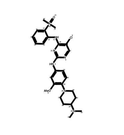 COc1cc(Nc2ncc(Cl)c(Nc3ccccc3P(C)(C)=O)n2)ccc1N1CCC(N(C)C)CC1